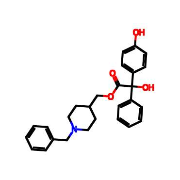 O=C(OCC1CCN(Cc2ccccc2)CC1)C(O)(c1ccccc1)c1ccc(O)cc1